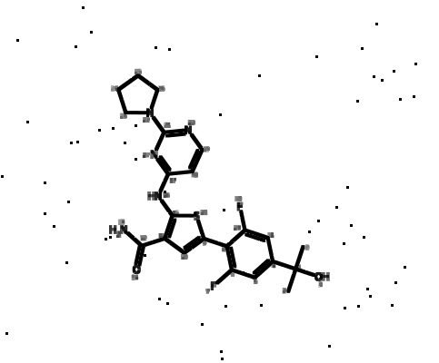 CC(C)(O)c1cc(F)c(-c2cc(C(N)=O)c(Nc3ccnc(N4CCCC4)n3)s2)c(F)c1